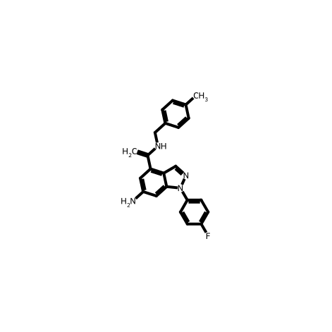 C=C(NCc1ccc(C)cc1)c1cc(N)cc2c1cnn2-c1ccc(F)cc1